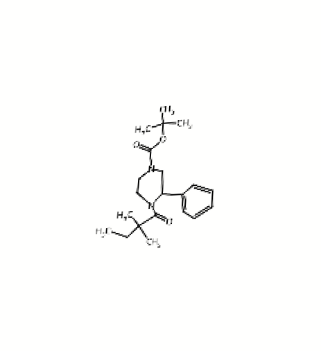 CCC(C)(C)C(=O)N1CCN(C(=O)OC(C)(C)C)CC1c1ccccc1